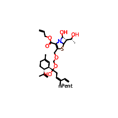 C=CCOC(=O)C1=C(COCOC(O)(C/C=C(\C=C)CCCCC)[C@@H]2C=C(C)CC[C@H]2C(=C)C)SC2[C@@H]([C@@H](C)O)C(O)N12